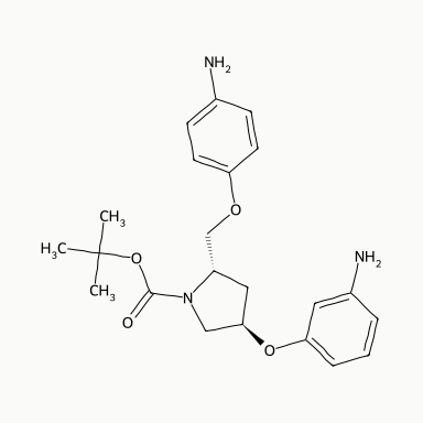 CC(C)(C)OC(=O)N1C[C@H](Oc2cccc(N)c2)C[C@H]1COc1ccc(N)cc1